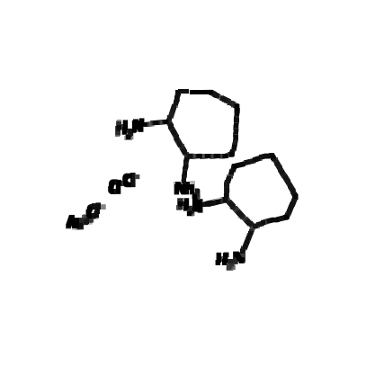 NC1CCCCC1N.NC1CCCCC1N.[Au+3].[Cl-].[Cl-].[Cl-]